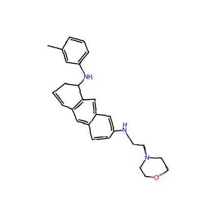 Cc1cccc(NC2CC=Cc3cc4ccc(NCCN5CCOCC5)cc4cc32)c1